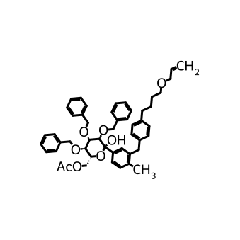 C=CCOCCCCc1ccc(Cc2cc([C@]3(O)O[C@H](COC(C)=O)[C@@H](OCc4ccccc4)[C@H](OCc4ccccc4)[C@H]3OCc3ccccc3)ccc2C)cc1